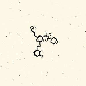 O=S(=O)(Nc1cc(CCCO)nc(SCc2cccc(F)c2F)n1)N1CCOCC1